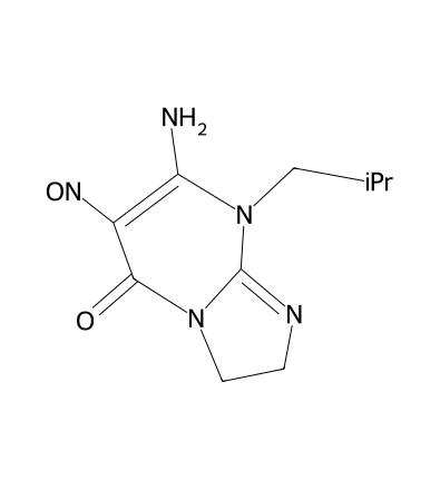 CC(C)CN1C2=NCCN2C(=O)C(N=O)=C1N